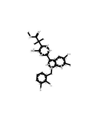 COC(=O)C(C)(C)c1nnc(-c2nn(Cc3cccc(F)c3F)c3nc(C)c(F)cc23)nc1O